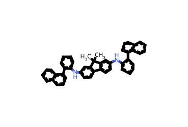 CC1(C)c2cc(Nc3ccccc3-c3cccc4ccccc34)ccc2-c2ccc(Nc3ccccc3-c3cccc4ccccc34)cc21